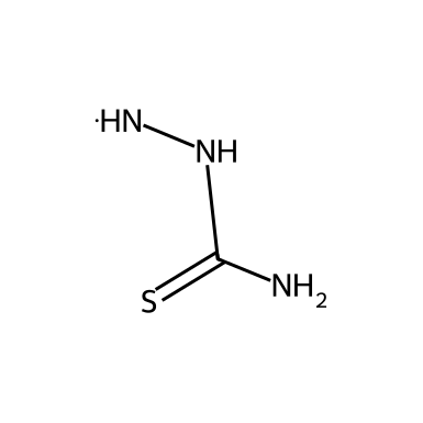 [NH]NC(N)=S